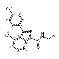 CCNC(=O)n1nc(-c2ccc(Cl)cc2)c2c(N)ncnc21